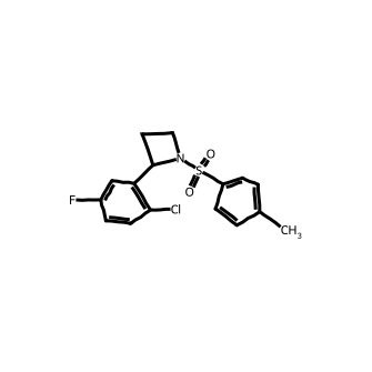 Cc1ccc(S(=O)(=O)N2CCC2c2cc(F)ccc2Cl)cc1